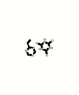 C=Cc1ncncn1.O=c1[nH]c(=O)[nH]c(=O)[nH]1